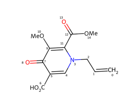 C=CCn1cc(C(=O)O)c(=O)c(OC)c1C(=O)OC